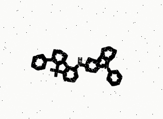 CC1(C)c2cccc(Nc3ccc4c(c3)c3ccccc3n4-c3ccccc3)c2-c2cccc(-c3ccccc3)c21